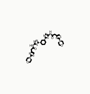 O=C(Cc1csc(N2CCOCC2)n1)Nc1nnc([C@H]2CCC[C@H](c3nnc(NC(=O)Cc4csc(N5CCOCC5)n4)s3)C2)s1